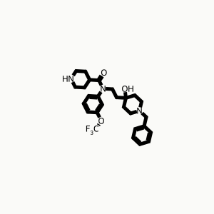 O=C(C1CCNCC1)N(CCC1(O)CCN(Cc2ccccc2)CC1)c1cccc(OC(F)(F)F)c1